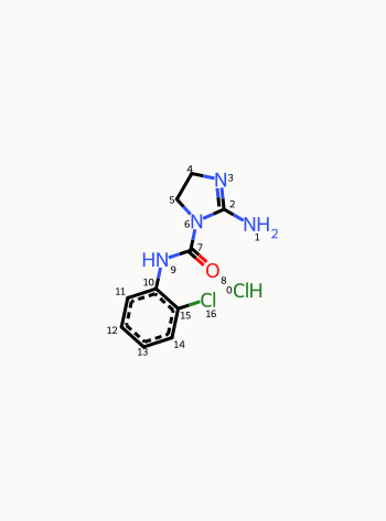 Cl.NC1=NCCN1C(=O)Nc1ccccc1Cl